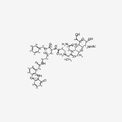 CC(=O)N[C@@H]1[C@@H](OC(C)CN(C(=O)[C@H](C)N)[C@H](CCC(=O)N[C@@H](C[S+]([O-])CCNC(=O)Cc2ccccc2Nc2c(Cl)cccc2Cl)C(=O)OCc2ccccc2)C(N)=O)[C@H](O)[C@@H](CO)O[C@@H]1O